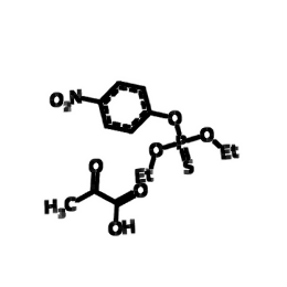 CC(=O)C(=O)O.CCOP(=S)(OCC)Oc1ccc([N+](=O)[O-])cc1